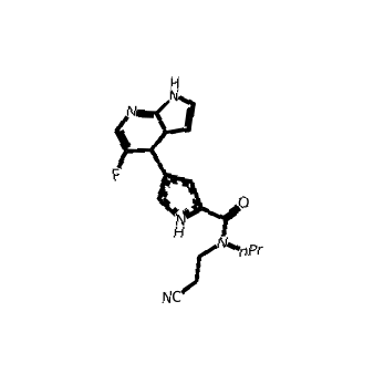 CCCN(CCC#N)C(=O)c1cc(C2C(F)=CN=C3NC=CC32)c[nH]1